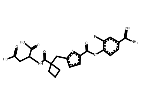 N=C(N)c1ccc(OC(=O)c2ccc(CC3(C(=O)NC(CC(=O)O)C(=O)O)CCC3)s2)c(F)c1